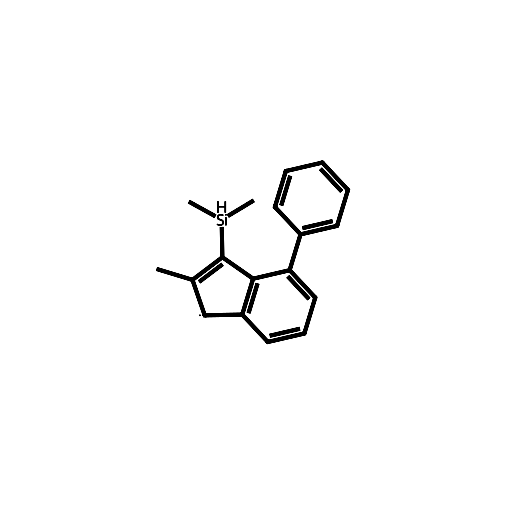 CC1=C([SiH](C)C)c2c(cccc2-c2ccccc2)[CH]1